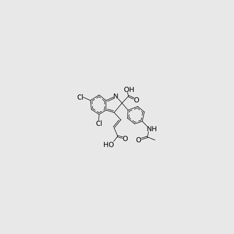 CC(=O)Nc1ccc(C2(C(=O)O)N=c3cc(Cl)cc(Cl)c3=C2C=CC(=O)O)cc1